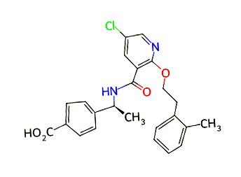 Cc1ccccc1CCOc1ncc(Cl)cc1C(=O)N[C@@H](C)c1ccc(C(=O)O)cc1